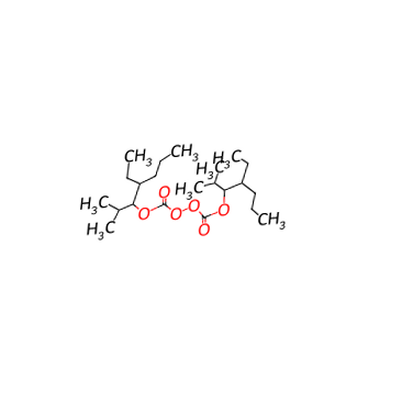 CCCC(CC)C(OC(=O)OOC(=O)OC(C(C)C)C(CC)CCC)C(C)C